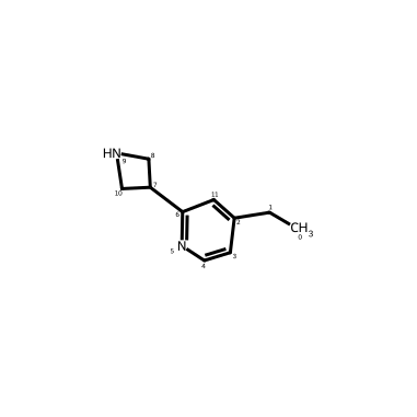 CCc1ccnc(C2CNC2)c1